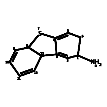 NC1C=C2C(=CC1)SC1C=CC=CC21